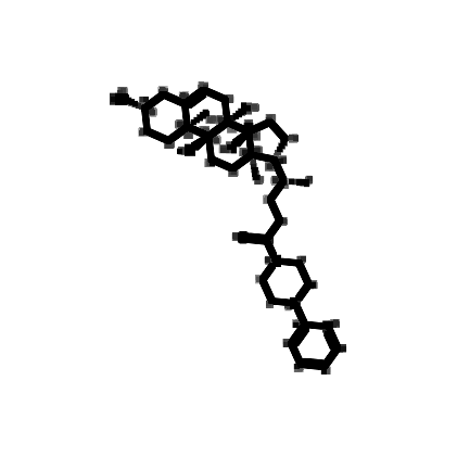 C[C@H](CCC(=O)N1CCN(c2ccccn2)CC1)[C@H]1CC[C@H]2[C@@H]3CC=C4C[C@@H](O)CC[C@]4(C)[C@H]3CC[C@]12C